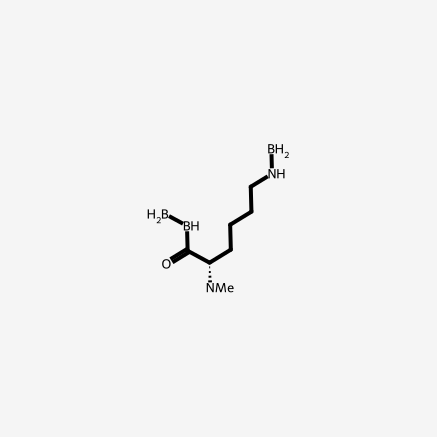 BBC(=O)[C@H](CCCCNB)NC